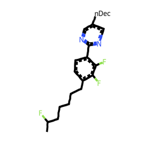 CCCCCCCCCCc1cnc(-c2ccc(CCCCCC(C)F)c(F)c2F)nc1